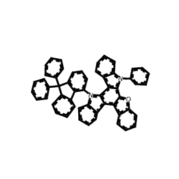 c1ccc(-n2c3ccccc3c3c2c2oc4ccccc4c2c2c4ccccc4n(-c4cccc5c4-c4ccccc4C5(c4ccccc4)c4ccccc4)c23)cc1